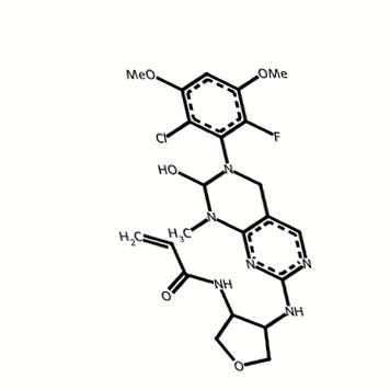 C=CC(=O)NC1COCC1Nc1ncc2c(n1)N(C)C(O)N(c1c(F)c(OC)cc(OC)c1Cl)C2